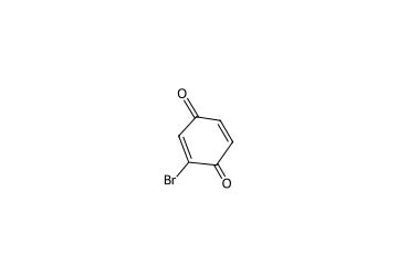 O=C1C=CC(=O)C(Br)=C1